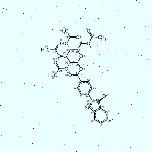 CC(=O)OC[C@H]1O[C@@H](OC(=O)c2ccc(-n3[se]c4ccccc4c3=O)cc2)[C@H](OC(C)=O)[C@@H](OC(C)=O)[C@@H]1OC(C)=O